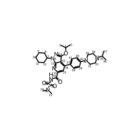 CC(C)Oc1nn(C2CCCCC2)c2nc(C(=O)NS(=O)(=O)N(C)C)cc(-c3ccc(N4CCN(C(C)C)CC4)cc3)c12